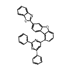 c1ccc(-c2cc(-c3cccc4oc5cc(-c6nc7ccccc7o6)ccc5c34)nc(-c3ccccc3)n2)cc1